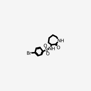 O=C1NCCCCC1NS(=O)(=O)c1ccc(Br)cc1